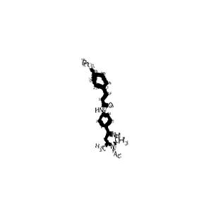 CC(=O)N(C)C(C)CC(=N)c1ccc(NC(=O)C=Cc2ccc(C(C)C)cc2)cc1